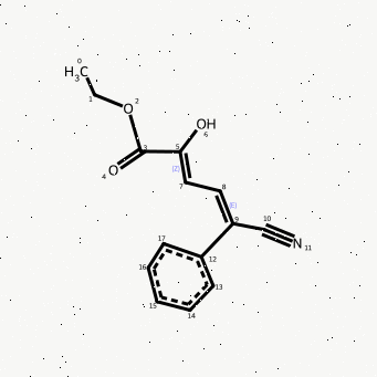 CCOC(=O)/C(O)=C/C=C(/C#N)c1ccccc1